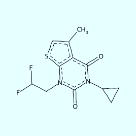 Cc1csc2c1c(=O)n(C1CC1)c(=O)n2CC(F)F